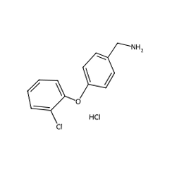 Cl.NCc1ccc(Oc2ccccc2Cl)cc1